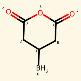 BC1CC(=O)OC(=O)C1